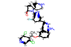 C[C@@H](Oc1ccc2[nH]nc(-c3cnc(N4C(=O)CCC45CCNCC5)c(F)c3)c2c1)c1c(Cl)cncc1Cl